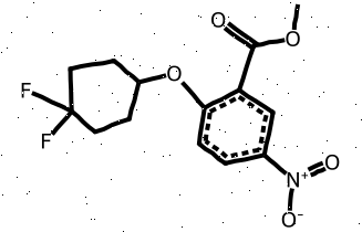 COC(=O)c1cc([N+](=O)[O-])ccc1OC1CCC(F)(F)CC1